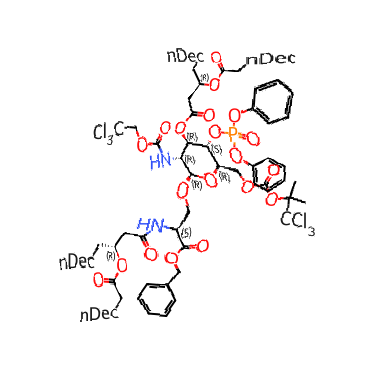 CCCCCCCCCCCC(=O)O[C@H](CCCCCCCCCCC)CC(=O)N[C@@H](CO[C@@H]1O[C@H](COC(=O)OC(C)(C)C(Cl)(Cl)Cl)[C@@H](OP(=O)(Oc2ccccc2)Oc2ccccc2)[C@H](OC(=O)C[C@@H](CCCCCCCCCCC)OC(=O)CCCCCCCCCCC)[C@H]1NC(=O)OCC(Cl)(Cl)Cl)C(=O)OCc1ccccc1